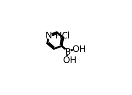 Cl.OB(O)c1ccncc1